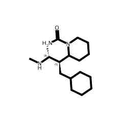 CN[C@H](C)[C@H](CC1CCCCC1)C1CCCCN1C(N)=O